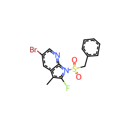 Cc1c(F)n(S(=O)(=O)Cc2ccccc2)c2ncc(Br)cc12